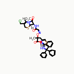 CC(C)(C)OC(=O)C(C)(Cc1csc(NC(c2ccccc2)(c2ccccc2)c2ccccc2)n1)O/N=C\C(=O)N[C@@H]1C(=O)N2C(C(=O)O)=C(CCl)CS[C@H]12